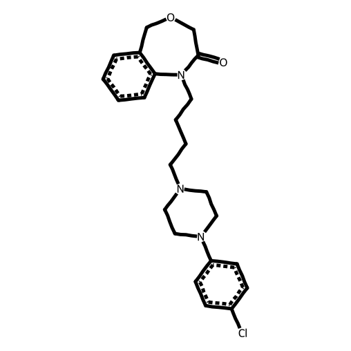 O=C1COCc2ccccc2N1CCCCN1CCN(c2ccc(Cl)cc2)CC1